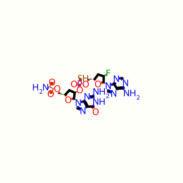 Nc1nc2c(ncn2[C@@H]2O[C@H](COS(N)(=O)=O)C[C@H]2OP(=O)(S)OC[C@@H]2C[C@@H](F)[C@H](n3cnc4c(N)ncnc43)O2)c(=O)[nH]1